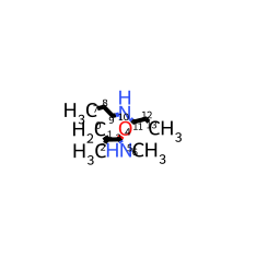 C=C(C)C(=O)NC.CCCNCCC